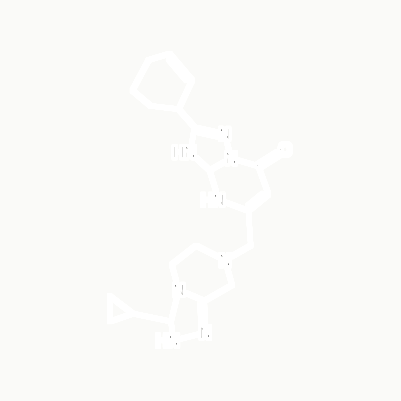 O=C1C=C(CN2CCN3C(=NNC3C3CC3)C2)NC2NC(C3C=CCCC3)=NN12